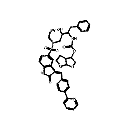 CC(C)CN(CC(O)C(Cc1ccccc1)NC(=O)OC1COC2OCCC12)S(=O)(=O)c1ccc2c(c1)C(=Cc1ccc(-c3ccccn3)cc1)C(=O)N2